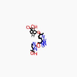 Cc1nc(-c2nnn(C)c2COc2nccc(C(C)(C)O)n2)ccc1O[C@@H]1C[C@H]2CCC(C(=O)O)[C@H]2C1